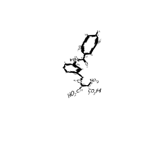 N[C@H](C(=O)O)[C@H](OCc1cccc(NC(=O)c2ccc(I)cc2)c1)C(=O)O